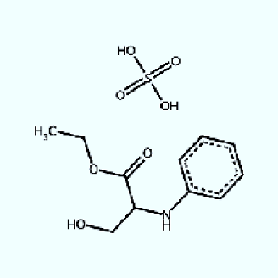 CCOC(=O)C(CO)Nc1ccccc1.O=S(=O)(O)O